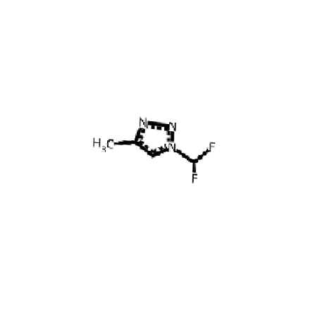 Cc1cn(C(F)F)nn1